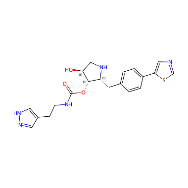 O=C(NCCc1cn[nH]c1)O[C@@H]1[C@@H](O)CN[C@@H]1Cc1ccc(-c2cncs2)cc1